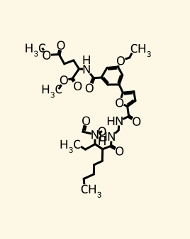 CCCCCC(C(=O)NCNC(=O)c1ccc(-c2cc(OCC)cc(C(=O)NC(CCC(=O)OC)C(=O)OC)c2)o1)C(CC)N(O)C=O